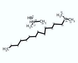 Br.CCCCCCCCCCCCCN(C)C.CNC